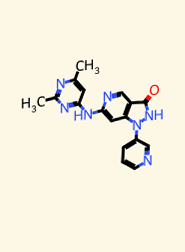 Cc1cc(Nc2cc3c(cn2)c(=O)[nH]n3-c2cccnc2)nc(C)n1